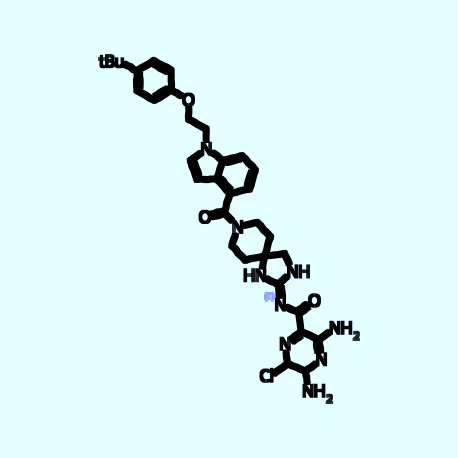 CC(C)(C)c1ccc(OCCn2ccc3c(C(=O)N4CCC5(CC4)CN/C(=N\C(=O)C4=NC(Cl)C(N)N=C4N)N5)cccc32)cc1